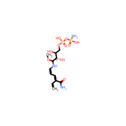 C=C/C(=C\C=C/NC(OC)[C@@H](O)C(O)COP(=O)(O)OP(N)(=O)O)C(N)=O